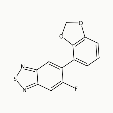 Fc1cc2nsnc2cc1-c1cccc2c1OCO2